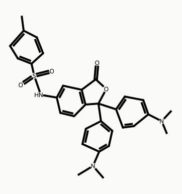 Cc1ccc(S(=O)(=O)Nc2ccc3c(c2)C(=O)OC3(c2ccc(N(C)C)cc2)c2ccc(N(C)C)cc2)cc1